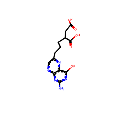 Nc1nc(O)c2nc(CCCC(CC(=O)O)C(=O)O)cnc2n1